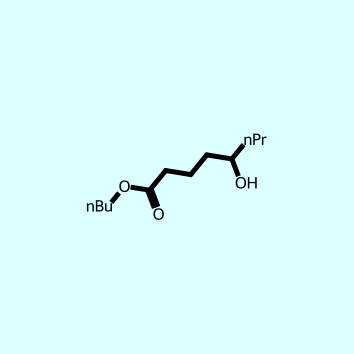 CCCCOC(=O)CCCC(O)CCC